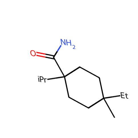 CCC1(C)CCC(C(N)=O)(C(C)C)CC1